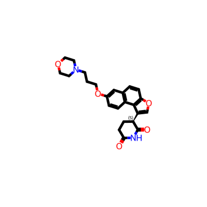 O=C1CC[C@@H](c2coc3ccc4cc(OCCCN5CCOCC5)ccc4c23)C(=O)N1